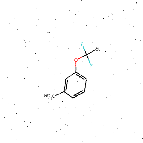 CCC(F)(F)Oc1cccc(C(=O)O)c1